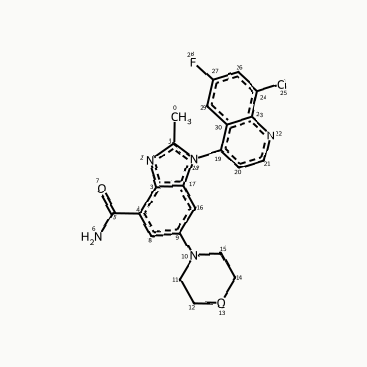 Cc1nc2c(C(N)=O)cc(N3CCOCC3)cc2n1-c1ccnc2c(Cl)cc(F)cc12